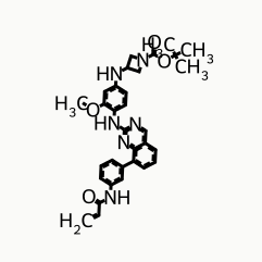 C=CC(=O)Nc1cccc(-c2cccc3cnc(Nc4ccc(NC5CN(C(=O)OC(C)(C)C)C5)cc4OC)nc23)c1